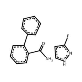 Fc1cc[nH]n1.NC(=O)c1ccccc1-c1ccccc1